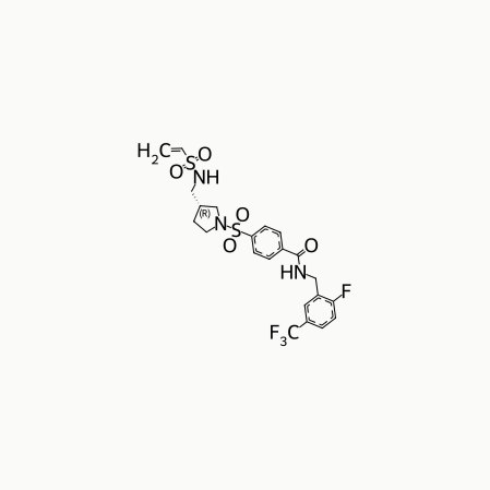 C=CS(=O)(=O)NC[C@H]1CCN(S(=O)(=O)c2ccc(C(=O)NCc3cc(C(F)(F)F)ccc3F)cc2)C1